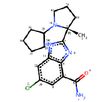 C[C@]1(c2nc3c(C(N)=O)cc(Cl)cc3[nH]2)CCCN1C1CCCC1